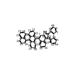 c1ccc(-c2nc3cc(-c4c5ccccc5c(-c5cccc6ccccc56)c5ccccc45)c4ccccc4c3n2-c2ccccc2)cc1